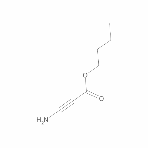 CCCCOC(=O)C#CN